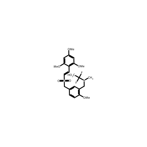 COc1cc(OC)c(C=CS(=O)(=O)Cc2ccc(OC)c(CN(C)C(F)(F)C(=O)O)c2)c(OC)c1